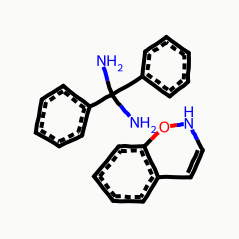 C1=Cc2ccccc2ON1.NC(N)(c1ccccc1)c1ccccc1